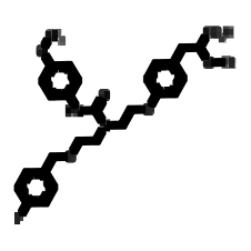 CCOC(Cc1ccc(OCCN(CCOCc2ccc(F)cc2)C(=O)Nc2ccc(OC(F)(F)F)cc2)cc1)C(=O)O